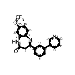 O=C1CC(c2cccc(-c3cccnc3)c2)=Nc2ccc(OC(F)(F)F)cc2N1